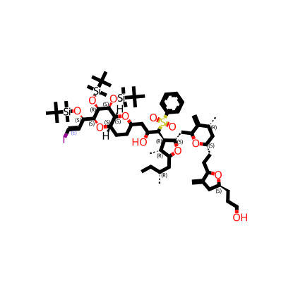 C=C1C[C@H](CCCO)OC1CC[C@H]1C[C@@H](C)C(=C)C(C[C@@H]2OC(C[C@H](C)CC)[C@H](C)[C@H]2C(C(O)CC2CC[C@@H]3O[C@@H]([C@H](/C=C/I)O[Si](C)(C)C(C)(C)C)[C@@H](O[Si](C)(C)C(C)(C)C)[C@@H](O[Si](C)(C)C(C)(C)C)[C@H]3O2)S(=O)(=O)c2ccccc2)O1